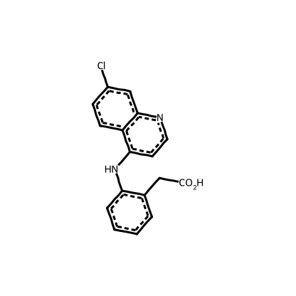 O=C(O)Cc1ccccc1Nc1ccnc2cc(Cl)ccc12